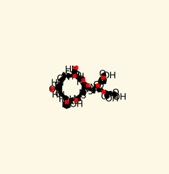 CNC(=O)C[C@@H]1NC(=O)c2csc(n2)-c2ccc(-c3nc(N(CCCCC(CCC(=O)O)C(=O)O)C(=O)O[C@H]4CC[C@H](C(=O)O)CC4)cs3)nc2-c2csc(n2)-c2csc(n2)[C@H]([C@@H](O)c2ccccc2)NC(=O)CNC(=O)c2nc(sc2COC)NC(=O)c2nc1sc2C